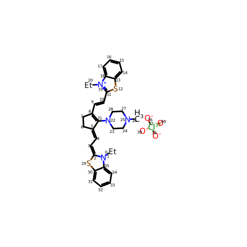 CCN1C(=CC=C2CCC(C=Cc3sc4ccccc4[n+]3CC)=C2N2CCN(C)CC2)Sc2ccccc21.[O-][Cl+3]([O-])([O-])[O-]